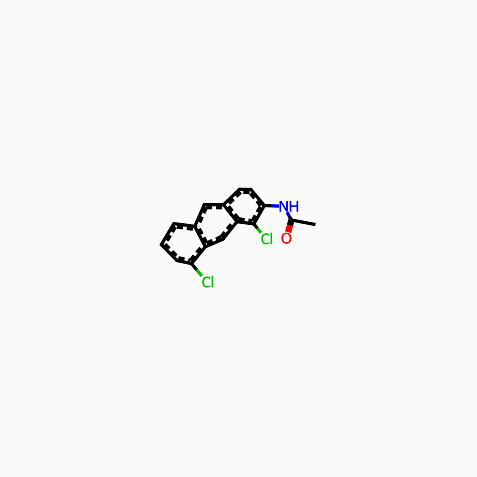 CC(=O)Nc1ccc2cc3cccc(Cl)c3cc2c1Cl